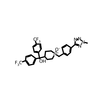 Cn1nnc(-c2ccc(C[N+]3([O-])CCC(C(O)(c4ccc(C(F)(F)F)cc4)c4ccc(C(F)(F)F)cc4)CC3)cc2)n1